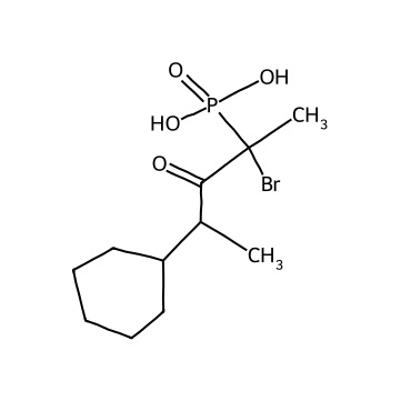 CC(C(=O)C(C)(Br)P(=O)(O)O)C1CCCCC1